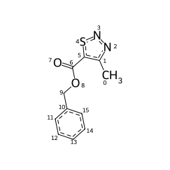 Cc1nnsc1C(=O)OCc1ccccc1